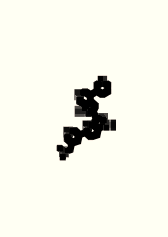 CN(C)Cc1cncc(-c2ccc3[nH]nc(-c4cc5c(-c6cccnc6)cncc5[nH]4)c3n2)c1